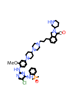 COc1cc(N2CCC(N3CCN(CCCc4cccc5c4CN(C4CCCNC4)C5=C=O)CC3)CC2)ccc1Nc1ncc(Cl)c(Nc2ccccc2P(C)(C)=O)n1